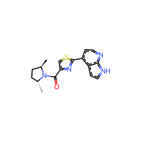 C[C@@H]1CC[C@@H](C)N1C(=O)c1csc(-c2ccnc3[nH]ccc23)n1